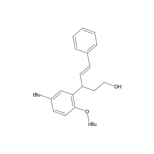 CCCCOc1ccc(C(C)(C)C)cc1C(C=Cc1ccccc1)CCO